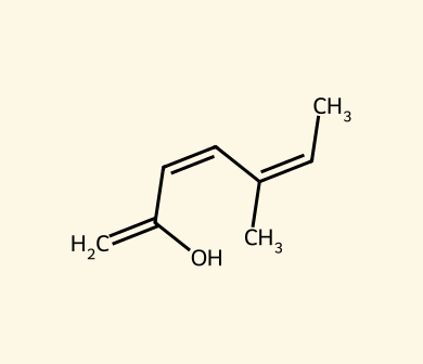 C=C(O)/C=C\C(C)=C/C